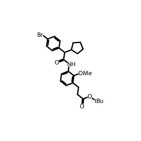 COc1c(CCC(=O)OC(C)(C)C)cccc1NC(=O)C(c1ccc(Br)cc1)C1CCCC1